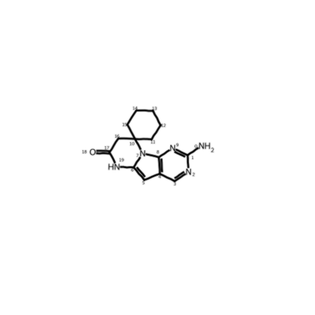 Nc1ncc2cc3n(c2n1)C1(CCCCC1)CC(=O)N3